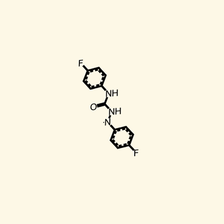 O=C(N[N]c1ccc(F)cc1)Nc1ccc(F)cc1